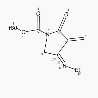 C=C1C(=O)N(C(=O)OC(C)(C)C)C/C1=N/CC